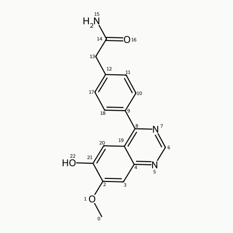 COc1cc2ncnc(-c3ccc(CC(N)=O)cc3)c2cc1O